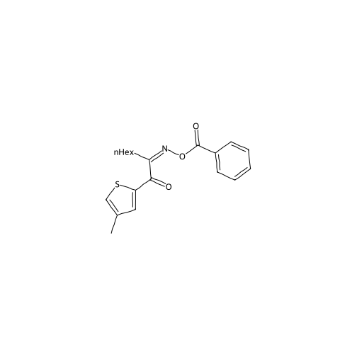 CCCCCCC(=NOC(=O)c1ccccc1)C(=O)c1cc(C)cs1